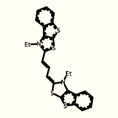 CCN1C(=CC=Cc2sc3sc4ccccc4c3[n+]2CC)Sc2sc3ccccc3c21